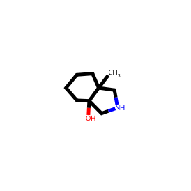 CC12CCCCC1(O)CNC2